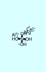 O[Si](O)(O)O.[Al+3].[Ca+2].[Mg+2]